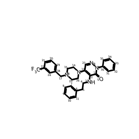 O=c1c(NCCc2ccccc2)c(N2CCN(Cc3cccc(C(F)(F)F)c3)CC2)cnn1-c1ccccc1